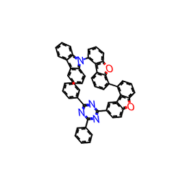 c1ccc(-c2nc(-c3ccccc3)nc(-c3ccc4oc5cccc(-c6cccc7c6oc6cccc(-n8c9ccccc9c9ccccc98)c67)c5c4c3)n2)cc1